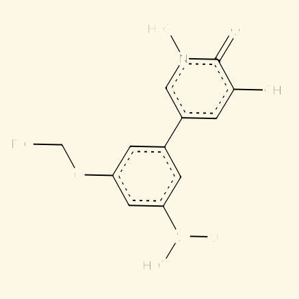 Cc1cc(-c2cc(OCC(F)(F)F)cc([S+](C)[O-])c2)cn(C)c1=O